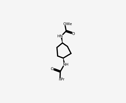 CCCC(=O)N[C@H]1CC[C@@H](NC(=O)OC)CC1